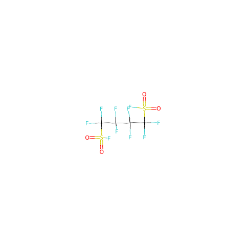 O=S(=O)(F)C(F)(F)C(F)(F)C(F)(F)C(F)(F)S(=O)(=O)F